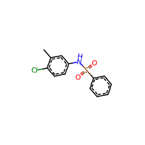 Cc1cc(NS(=O)(=O)c2ccccc2)ccc1Cl